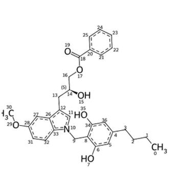 CCCCc1cc(O)c(Cn2cc(C[C@H](O)COC(=O)c3ccccc3)c3cc(OC)ccc32)c(O)c1